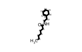 CCCCCCC(=O)NCCC1=CC=CCC1